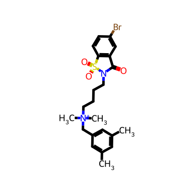 Cc1cc(C)cc(C[N+](C)(C)CCCCN2C(=O)c3cc(Br)ccc3S2(=O)=O)c1